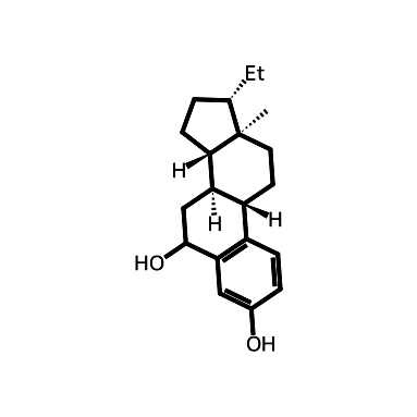 CC[C@H]1CC[C@H]2[C@@H]3CC(O)c4cc(O)ccc4[C@H]3CC[C@]12C